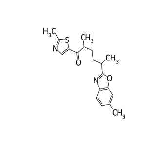 Cc1ccc2nc(C(C)CCC(C)C(=O)c3cnc(C)s3)oc2c1